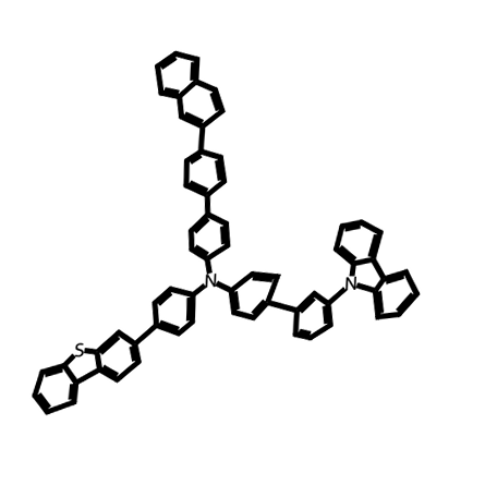 c1cc(-c2ccc(N(c3ccc(-c4ccc(-c5ccc6ccccc6c5)cc4)cc3)c3ccc(-c4ccc5c(c4)sc4ccccc45)cc3)cc2)cc(-n2c3ccccc3c3ccccc32)c1